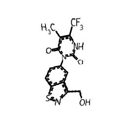 Cc1c(C(F)(F)F)[nH]c(=O)n(-c2ccc3snc(CO)c3c2)c1=O